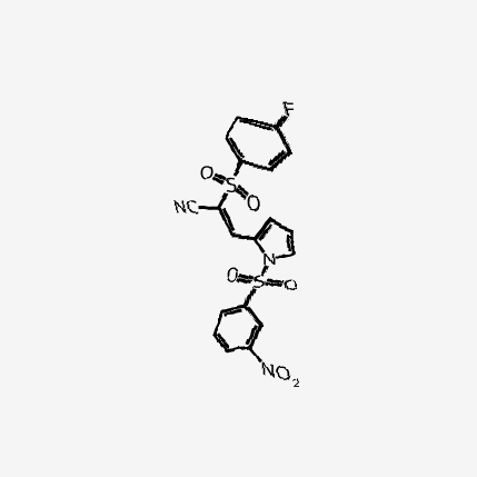 N#CC(=Cc1cccn1S(=O)(=O)c1cccc([N+](=O)[O-])c1)S(=O)(=O)c1ccc(F)cc1